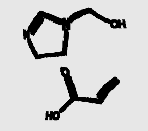 C=CC(=O)O.OCN1C=NCC1